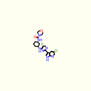 O=C(N[C@@H]1CCCC(Nc2nc(-c3c[nH]c4ncc(Cl)cc34)ncc2F)C1)N1CCOCC1